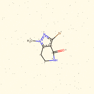 Cn1nc(Br)c2c1CCNC2=O